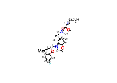 COCC(CN1CCOc2cc3c(c(C)c21)CCN(OC(=O)/C=C/C(=O)O)CC3)Oc1cccc(F)c1